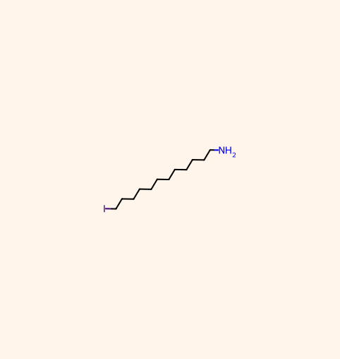 NCCCCCCCCCCCCI